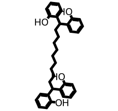 Oc1ccccc1C(CCCCCCCCCC(c1ccccc1O)c1ccccc1O)c1ccccc1O